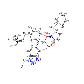 CCn1nnc2c(F)c(C(c3ccc(C)c(CO[Si](C)(C)C(C)(C)C)c3)C(C)C(=O)N3C(=O)OC[C@H]3Cc3ccccc3)ccc21